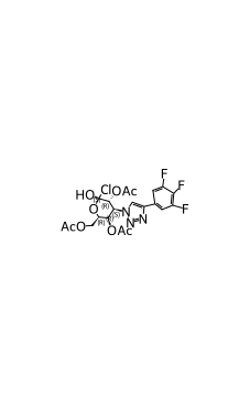 CC(=O)OC[C@H]1O[C@](O)(Cl)[C@H](OC(C)=O)[C@@H](n2cc(-c3cc(F)c(F)c(F)c3)nn2)[C@H]1OC(C)=O